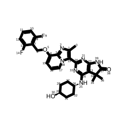 Cc1nc2c(OCc3c(F)cccc3F)cccn2c1-c1nc2c(c(N[C@H]3CC[C@H](O)CC3)n1)C(C)(C)C(=O)N2